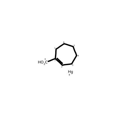 O=C(O)C1=CCCCCC1.[Hg]